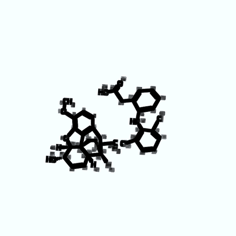 COc1ccc2c3c1O[C@H]1[C@@H](O)C=C[C@H]4[C@@H](C2)N(C)CC[C@@]341.O=C(O)Cc1ccccc1Nc1c(Cl)cccc1Cl